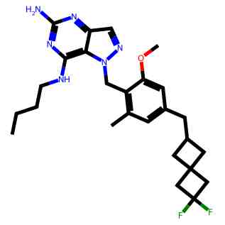 CCCCNc1nc(N)nc2cnn(Cc3c(C)cc(CC4CC5(C4)CC(F)(F)C5)cc3OC)c12